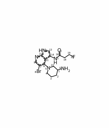 NC1CCCN(c2c(Br)cnc3[nH]cc(NC(=O)CCF)c23)C1